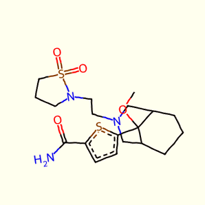 COC1(c2ccc(C(N)=O)s2)C2CCCC1CN(CCN1CCCS1(=O)=O)C2